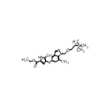 CCOC(=O)c1cc(Sc2cc(C)c3c(cnn3COCC[Si](C)(C)C)c2)c(C)[nH]1